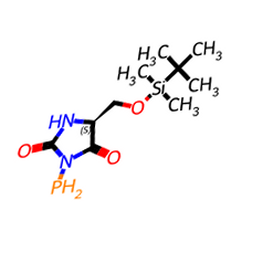 CC(C)(C)[Si](C)(C)OC[C@@H]1NC(=O)N(P)C1=O